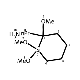 CCCC1(OC)CCCC[Si]1(OC)OC.N